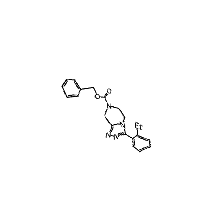 CCc1ccccc1-c1nnc2n1CCN(C(=O)OCc1ccccc1)C2